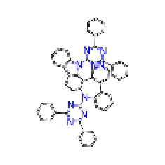 c1ccc(-c2nc(-c3ccccc3)nc(N3c4ccccc4-c4ccncc4-c4c3ccc3c5ccccc5n(-c5nc(-c6ccccc6)nc(-c6ccccc6)n5)c43)n2)cc1